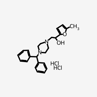 Cc1ccc(C(O)CN2CCN(C(c3ccccc3)c3ccccc3)CC2)o1.Cl.Cl